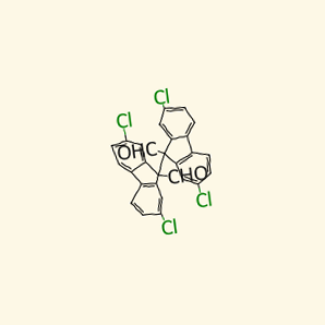 O=CC1(C2(C=O)c3cc(Cl)ccc3-c3ccc(Cl)cc32)c2cc(Cl)ccc2-c2ccc(Cl)cc21